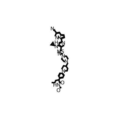 CCCC(C(=O)NC=O)c1ccc(N2CCC(CN3CCN(c4nnc(-c5cnc(-c6ccc7cc(C#N)cnn67)cc5NC5CC5)s4)CC3)CC2)cc1